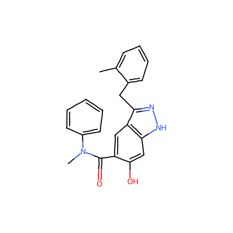 Cc1ccccc1Cc1n[nH]c2cc(O)c(C(=O)N(C)c3ccccc3)cc12